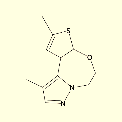 CC1=CC2c3c(C)cnn3CCOC2S1